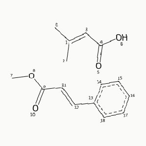 CC(C)=CC(=O)O.COC(=O)C=Cc1ccccc1